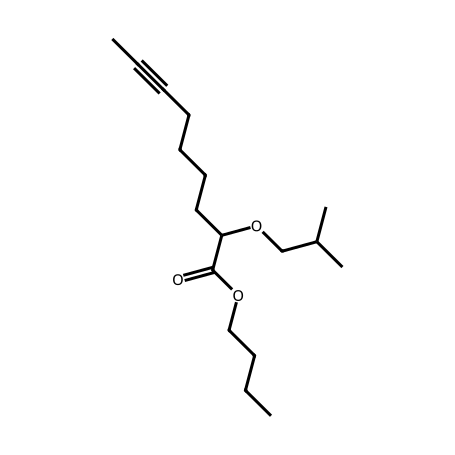 CC#CCCCCC(OCC(C)C)C(=O)OCCCC